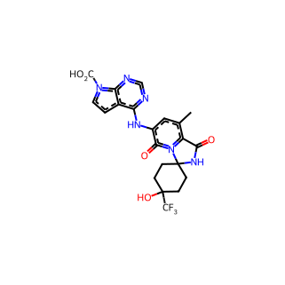 Cc1cc(Nc2ncnc3c2ccn3C(=O)O)c(=O)n2c1C(=O)NC21CCC(O)(C(F)(F)F)CC1